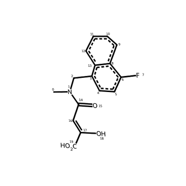 CN(Cc1ccc(F)c2ccccc12)C(=O)C=C(O)C(=O)O